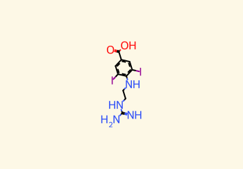 N=C(N)NCCNc1c(I)cc(C(=O)O)cc1I